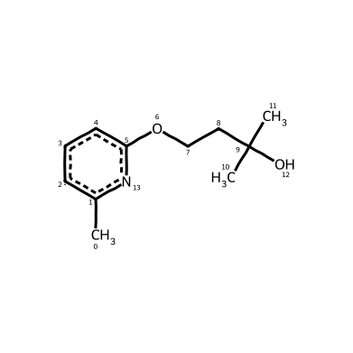 Cc1[c]ccc(OCCC(C)(C)O)n1